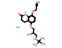 C#CCOc1ccc(OCC(O)CNC(C)(C)C)c2c1NC(=O)CC2.Cl